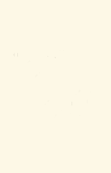 O=c1oc2cc(CO)ccc2c(OCc2cccc(C(F)(F)F)c2)c1Cc1cccc(C(F)(F)F)c1